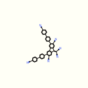 N#CC(C#N)=C1c2cc(C#N)c(-c3ccc(-c4ccc(C#N)cc4)cc3)cc2-c2cc(-c3ccc(-c4ccc(C#N)cc4)cc3)c(C#N)cc21